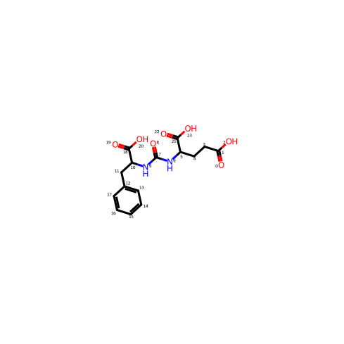 O=C(O)CCC(NC(=O)NC(Cc1ccccc1)C(=O)O)C(=O)O